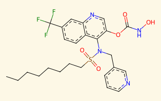 CCCCCCCCS(=O)(=O)N(Cc1cccnc1)c1c(OC(=O)NO)cnc2cc(C(F)(F)F)ccc12